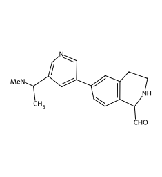 CNC(C)c1cncc(-c2ccc3c(c2)CCNC3C=O)c1